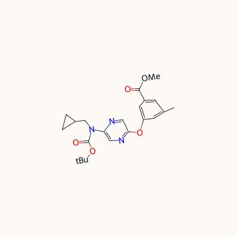 COC(=O)c1cc(C)cc(Oc2cnc(N(CC3CC3)C(=O)OC(C)(C)C)cn2)c1